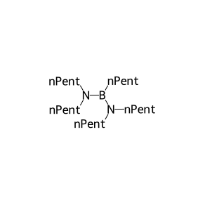 CCCCCB(N(CCCCC)CCCCC)N(CCCCC)CCCCC